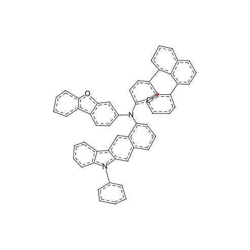 c1ccc(-c2cccc3cccc(-c4ccc(N(c5ccc6c(c5)oc5ccccc56)c5cccc6cc7c(cc56)c5ccccc5n7-c5ccccc5)cc4)c23)cc1